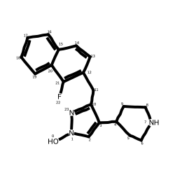 On1cc(C2CCNCC2)c(Cc2ccc3ccccc3c2F)n1